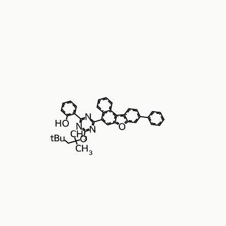 CC(C)(C)CC(C)(C)Oc1nc(-c2ccccc2O)nc(-c2cc3oc4cc(-c5ccccc5)ccc4c3c3ccccc23)n1